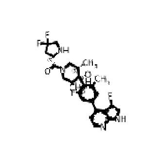 Cc1cc(-c2ccnc3[nH]cc(F)c23)cc(F)c1[C@@]1(O)[C@H](C)CN(C(=O)[C@@H]2CC(F)(F)CN2)C[C@@H]1C